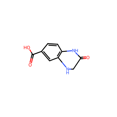 O=C1CNc2cc(C(=O)O)ccc2N1